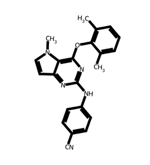 Cc1cccc(C)c1Oc1nc(Nc2ccc(C#N)cc2)nc2ccn(C)c12